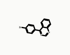 Brc1ccc(-c2ncnc3ccccc23)cc1